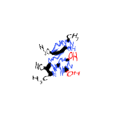 Cc1nn(-c2nc(O)nc(O)n2)c(/N=N/c2c(C)nn3c(C)n[nH]c23)c1C#N